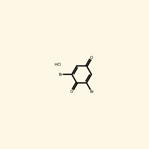 Cl.O=C1C=C(Br)C(=O)C(Br)=C1